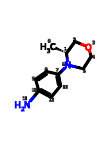 C[C@@H]1COCCN1c1ccc(N)cc1